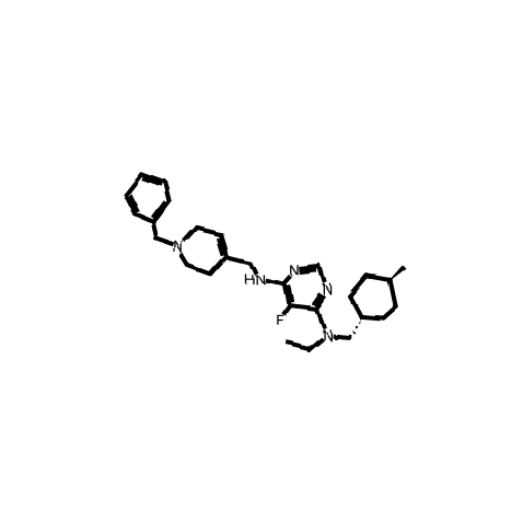 CCN(C[C@H]1CC[C@H](C)CC1)c1ncnc(NCC2=CCN(Cc3ccccc3)CC2)c1F